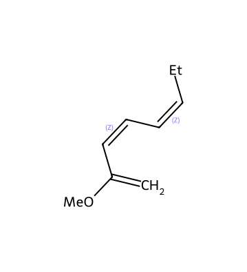 C=C(/C=C\C=C/CC)OC